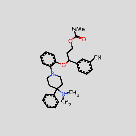 CNC(=O)OCCC(Oc1ccccc1N1CCC(c2ccccc2)(N(C)C)CC1)c1cccc(C#N)c1